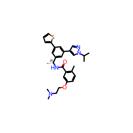 Cc1ccc(OCCN(C)C)cc1C(=O)N[C@H](C)c1cc(-c2cnn(C(C)C)c2)cc(-c2cccs2)c1